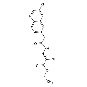 CCOC(=O)/C(N)=N/NC(=O)Cc1ccc2ncc(Cl)cc2c1